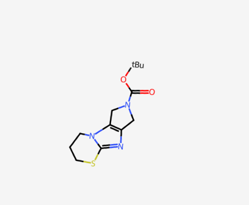 CC(C)(C)OC(=O)N1Cc2nc3n(c2C1)CCCS3